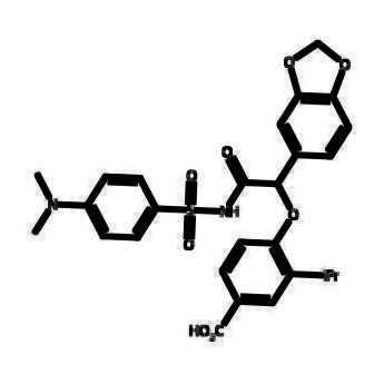 CC(C)c1cc(C(=O)O)ccc1OC(C(=O)NS(=O)(=O)c1ccc(N(C)C)cc1)c1ccc2c(c1)OCO2